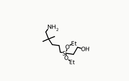 CCO[Si](CCO)(CCCC(C)(C)CN)OCC